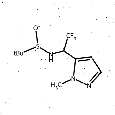 Cn1nccc1C(N[S+]([O-])C(C)(C)C)C(F)(F)F